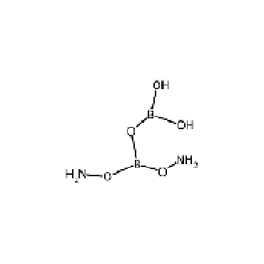 NOB(ON)OB(O)O